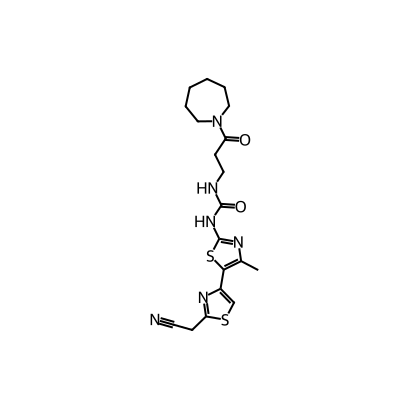 Cc1nc(NC(=O)NCCC(=O)N2CCCCCC2)sc1-c1csc(CC#N)n1